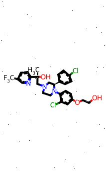 C[C@@](O)(CN1CCN(c2ccc(OCCO)cc2Cl)[C@H](c2ccc(Cl)cc2)C1)c1ccc(C(F)(F)F)cn1